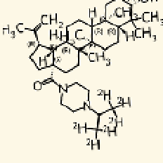 [2H]C([2H])([2H])C(N1CCN(C(=O)[C@]23CC[C@@H](C(=C)C)[C@@H]2[C@H]2CC[C@@H]4[C@@]5(C)CC[C@H](O)C(C)(C)[C@@H]5CC[C@@]4(C)[C@]2(C)CC3)CC1)C([2H])([2H])[2H]